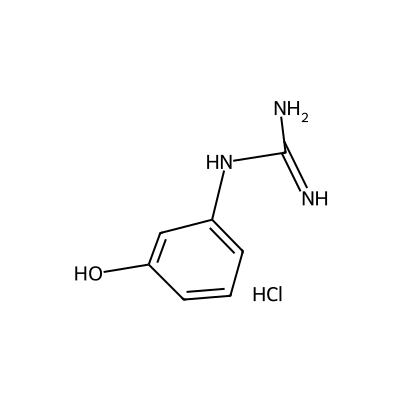 Cl.N=C(N)Nc1cccc(O)c1